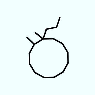 CC[CH]C1(C)CCCCCCCCCCC1C